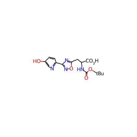 CC(C)(C)OC(=O)NC(Cc1nc(-c2ccc(O)cn2)no1)C(=O)O